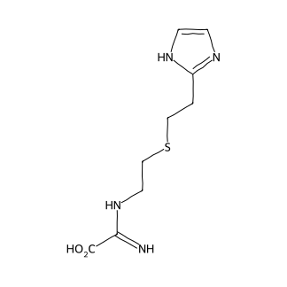 N=C(NCCSCCc1ncc[nH]1)C(=O)O